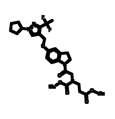 CC(C)(C)OC(=O)CCN(CC(=O)N1CCc2cc(OCc3cn(C4CCCC4)nc3C(C)(F)F)ccc21)C(=O)OC(C)(C)C